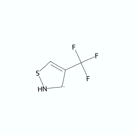 FC(F)(F)C1=CSN[CH]1